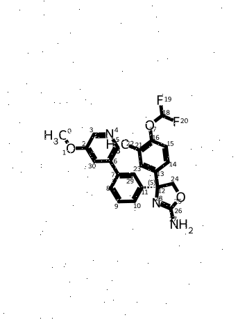 COc1cncc(-c2cccc([C@]3(c4ccc(OC(F)F)c(C)c4)COC(N)=N3)c2)c1